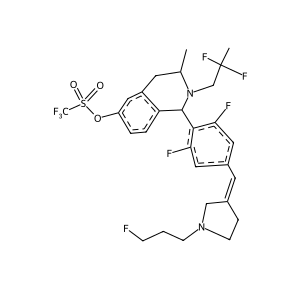 CC1Cc2cc(OS(=O)(=O)C(F)(F)F)ccc2C(c2c(F)cc(C=C3CCN(CCCF)C3)cc2F)N1CC(C)(F)F